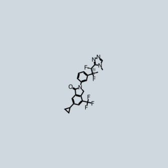 Cn1cnnc1[C@H](F)[C@](C)(F)c1cccc(N2Cc3c(cc(C4CC4)cc3C(F)(F)F)C2=O)c1